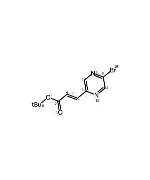 CC(C)(C)OC(=O)/C=C/c1cnc(Br)cn1